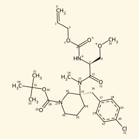 C=CCOC(=O)N[C@@H](COC)C(=O)N(C)[C@@]1(Cc2ccc(Cl)cc2)CCCN(C(=O)OC(C)(C)C)C1